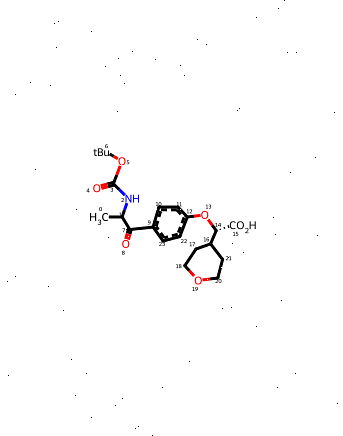 CC(NC(=O)OC(C)(C)C)C(=O)c1ccc(O[C@H](C(=O)O)C2CCOCC2)cc1